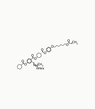 C=CC(=O)OCCCCCCOc1ccc(OC(=O)[C@H]2CC[C@H](OC(=O)c3ccc(OC(=O)C4CCCCC4)cc3/C=N/N(C)CCCCCC)CC2)cc1